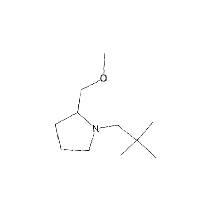 COCC1CCCN1CC(C)(C)C